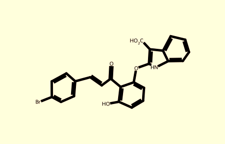 O=C(C=Cc1ccc(Br)cc1)c1c(O)cccc1Oc1[nH]c2ccccc2c1C(=O)O